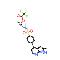 Cc1cc2c(-c3ccc(S(=O)(=O)NC[C@@H](C)OC(=O)C(F)(F)F)cc3)ccnc2[nH]1